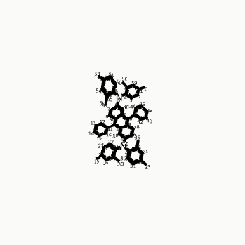 Cc1ccc(N(c2ccc3c(-c4ccccc4)c4cc(N(c5ccc(C)cc5C)c5ccc(C)cc5C)ccc4c(-c4ccccc4)c3c2)c2ccc(C)cc2C)c(C)c1